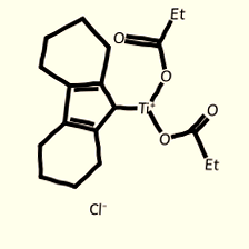 CCC(=O)[O][Ti+]([O]C(=O)CC)[CH]1C2=C(CCCC2)C2=C1CCCC2.[Cl-]